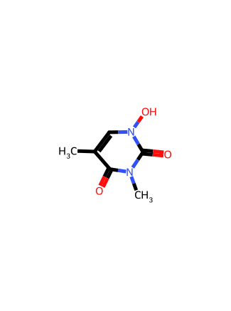 Cc1cn(O)c(=O)n(C)c1=O